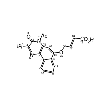 CC(=O)n1c(=O)c(C(C)C)nc2c3ccccc3c(OCC=CC(=O)O)cc21